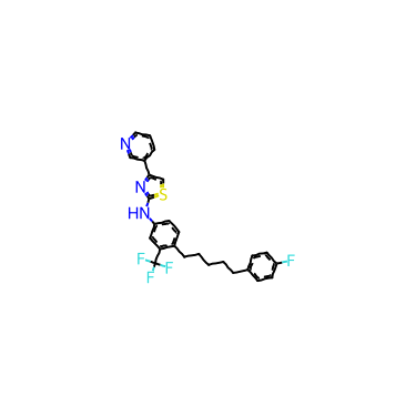 Fc1ccc(CCCCCc2ccc(Nc3nc(-c4cccnc4)cs3)cc2C(F)(F)F)cc1